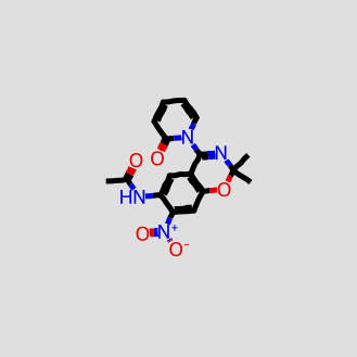 CC(=O)Nc1cc2c(cc1[N+](=O)[O-])OC(C)(C)N=C2n1ccccc1=O